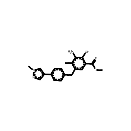 COC(=O)c1cc(Cc2ccc(-c3cnn(C)c3)cc2)c(C)c(N)c1O